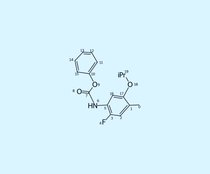 Cc1cc(F)c(NC(=O)Oc2ccccc2)cc1OC(C)C